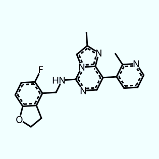 Cc1cn2c(NCc3c(F)ccc4c3CCO4)ncc(-c3cccnc3C)c2n1